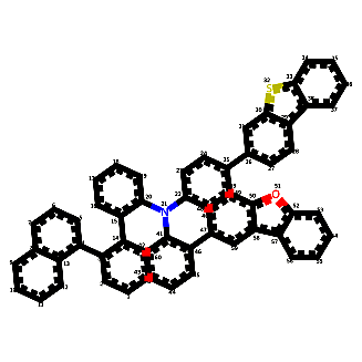 c1ccc(-c2cccc3ccccc23)c(-c2ccccc2N(c2ccc(-c3ccc4c(c3)sc3ccccc34)cc2)c2ccccc2-c2ccc3oc4ccccc4c3c2)c1